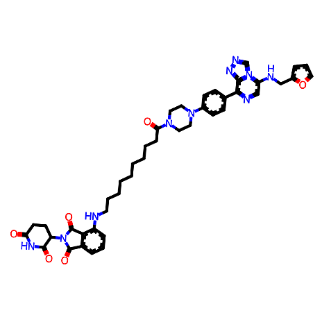 O=C1CCC(N2C(=O)c3cccc(NCCCCCCCCCC(=O)N4CCN(c5ccc(-c6ncc(NCc7ccco7)n7cnnc67)cc5)CC4)c3C2=O)C(=O)N1